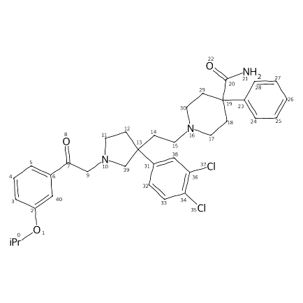 CC(C)Oc1cccc(C(=O)CN2CCC(CCN3CCC(C(N)=O)(c4ccccc4)CC3)(c3ccc(Cl)c(Cl)c3)C2)c1